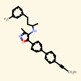 CCOC(=O)C#Cc1ccc(-c2ccc(-c3onc(C)c3NC(C)CCc3cccc(C(F)(F)F)c3)cc2)cc1